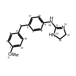 COc1ccc(Cc2ccc(NC3=NCCN3)cc2)cc1